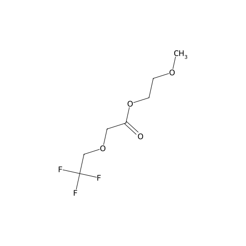 COCCOC(=O)COCC(F)(F)F